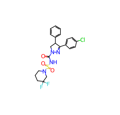 O=C(NS(=O)(=O)N1CCCC(F)(F)C1)N1CC(c2ccccc2)C(c2ccc(Cl)cc2)=N1